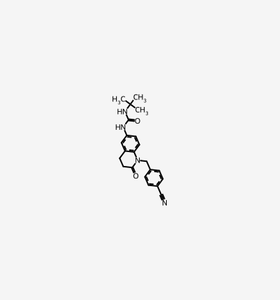 CC(C)(C)NC(=O)Nc1ccc2c(c1)CCC(=O)N2Cc1ccc(C#N)cc1